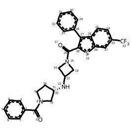 O=C(c1ccccc1)N1CC[C@H](NC2CN(C(=O)c3sc4cc(C(F)(F)F)ccc4c3-c3ccccc3)C2)C1